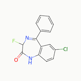 O=C1Nc2ccc(Cl)cc2C(c2ccccc2)=NC1F